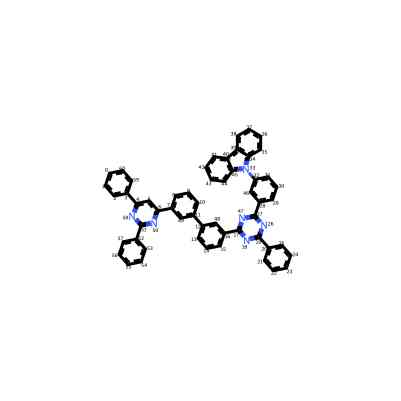 c1ccc(-c2cc(-c3cccc(-c4cccc(-c5nc(-c6ccccc6)nc(-c6cccc(-n7c8ccccc8c8ccccc87)c6)n5)c4)c3)nc(-c3ccccc3)n2)cc1